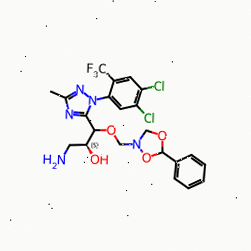 Cc1nc(C(OCN2COC(c3ccccc3)O2)[C@@H](O)CN)n(-c2cc(Cl)c(Cl)cc2C(F)(F)F)n1